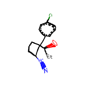 CCC(=O)C1(c2ccc(Cl)cc2)CCC1[N+]#N